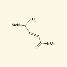 CNC(=O)C=CC(C)NC